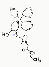 CCOC(=O)Cn1ccc(/C=C2\CN(C(c3ccccc3)(c3ccccc3)c3ccccc3)CCC2O)n1